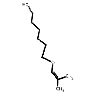 CC(C)=COCCCCCCO